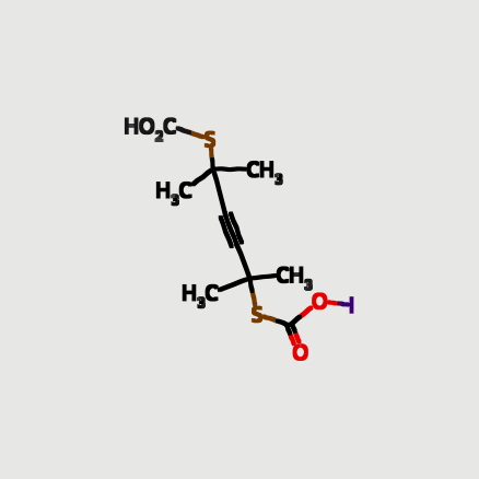 CC(C)(C#CC(C)(C)SC(=O)OI)SC(=O)O